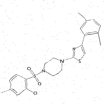 Cc1ccc(C)c(-c2csc(N3CCN(S(=O)(=O)c4ccc(Cl)cc4Cl)CC3)n2)c1